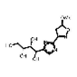 COC1CC(c2ncc([C@@H](O)[C@H](O)[C@H](O)CO)[nH]2)=NO1